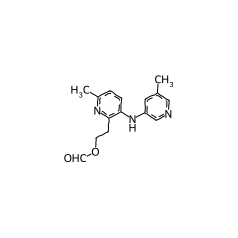 Cc1cncc(Nc2ccc(C)nc2CCOC=O)c1